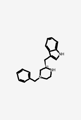 c1ccc(CN2CCN[C@H](Cc3c[nH]c4ccccc34)C2)cc1